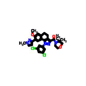 COc1cc2c(cc1-c1ccn(C)n1)-c1c(c(C(=O)N3CCOCC3(C)C)nn1-c1cc(Cl)cc(Cl)c1)CC2